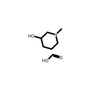 CN1CCCC(O)C1.O=CO